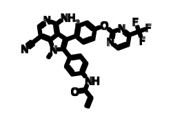 C=CC(=O)Nc1ccc(-c2c(-c3ccc(Oc4nccc(C(F)(F)F)n4)cc3)c3c(N)ncc(C#N)c3n2C)cc1